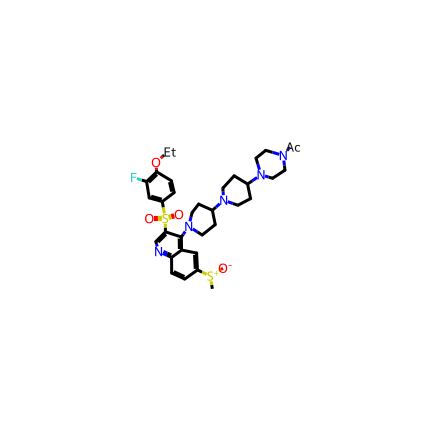 CCOc1ccc(S(=O)(=O)c2cnc3ccc([S+](C)[O-])cc3c2N2CCC(N3CCC(N4CCN(C(C)=O)CC4)CC3)CC2)cc1F